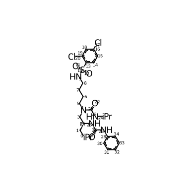 CC(C)C[C@@H](CN(CCCCNS(=O)(=O)c1ccc(Cl)cc1Cl)C(=O)NC(C)C)NC(=O)Nc1ccccc1